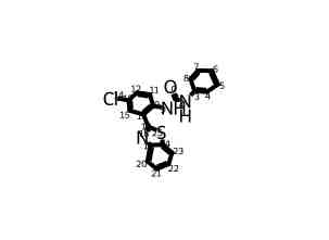 O=C(Nc1ccccc1)Nc1ccc(Cl)cc1-c1nc2ccccc2s1